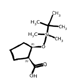 CC(C)(C)[Si](C)(C)O[C@@H]1CCC[C@@H]1C(=O)O